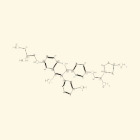 CC1=C(c2cccc(O)c2)C(c2ccc(OC[C@H](C)N3CC[C@@H](C)C3)cc2)Oc2ccc(OCC(O)CO)cc21